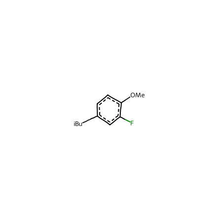 CCC(C)c1ccc(OC)c(F)c1